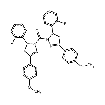 COc1ccc(C2=NN(C(=O)N3N=C(c4ccc(OC)cc4)CC3c3ccccc3F)C(c3ccccc3F)C2)cc1